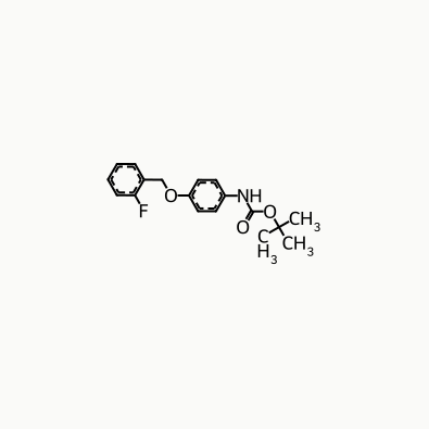 CC(C)(C)OC(=O)Nc1ccc(OCc2ccccc2F)cc1